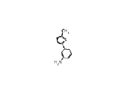 Cc1ccc(C2C=C(N)C=CC2)s1